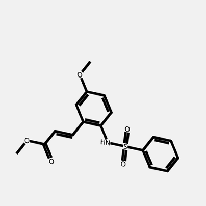 COC(=O)C=Cc1cc(OC)ccc1NS(=O)(=O)c1ccccc1